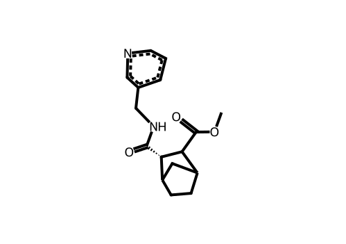 COC(=O)C1C2CCC(C2)[C@@H]1C(=O)NCc1cccnc1